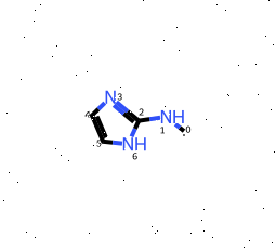 [CH2]Nc1ncc[nH]1